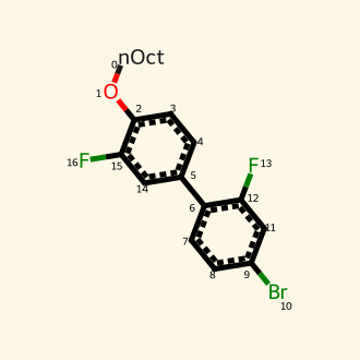 CCCCCCCCOc1ccc(-c2ccc(Br)cc2F)cc1F